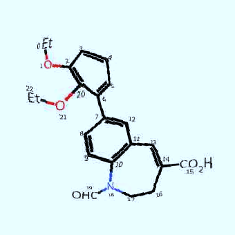 CCOc1cccc(-c2ccc3c(c2)C=C(C(=O)O)CCN3C=O)c1OCC